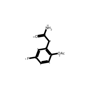 CC(=O)Oc1ccc(F)cc1CC(N)=O